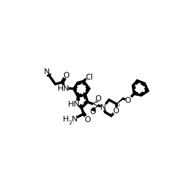 N#CCC(=O)Nc1cc(Cl)cc2c(S(=O)(=O)N3CCO[C@H](COc4ccccc4)C3)c(C(N)=O)[nH]c12